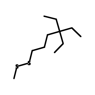 CCC(CC)(CC)CCCSSC